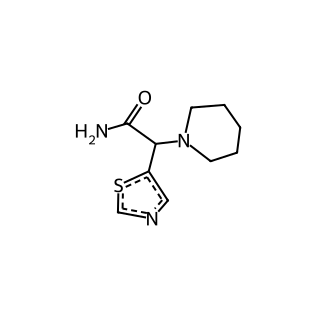 NC(=O)C(c1cncs1)N1CCCCC1